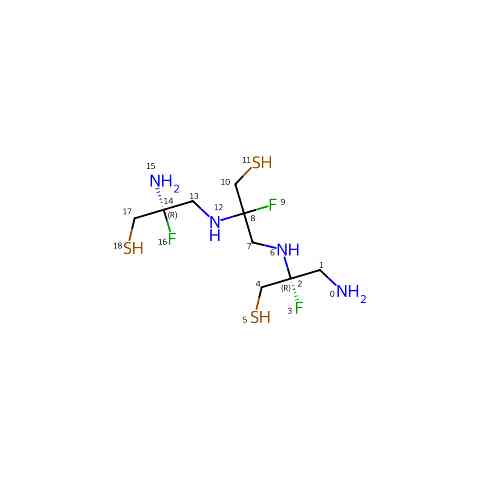 NC[C@@](F)(CS)NCC(F)(CS)NC[C@@](N)(F)CS